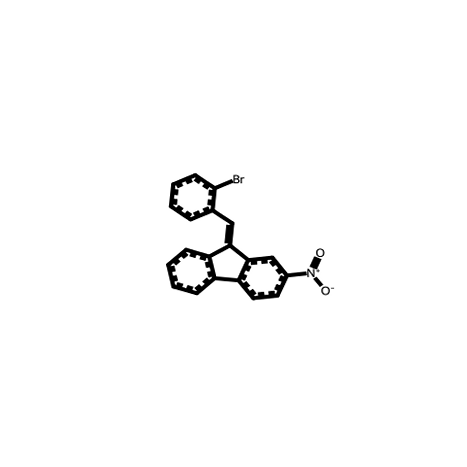 O=[N+]([O-])c1ccc2c(c1)/C(=C/c1ccccc1Br)c1ccccc1-2